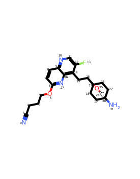 N#CCCCOc1ccc2ncc(F)c(CCC34CCC(N)(CC3)CO4)c2n1